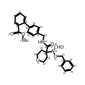 CC(C)(C)OC(=O)c1ccccc1-c1ccc(CNC(=O)C2(N(C=O)OCc3ccccc3)CCOCC2)cc1